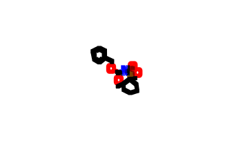 CC12CCCCC1(C)S(=O)(=O)N=C(OCc1ccccc1)O2